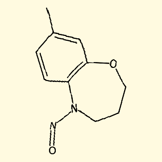 Cc1ccc2c(c1)OCCCN2N=O